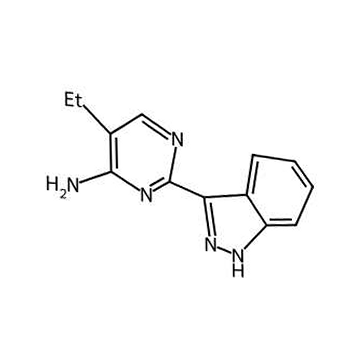 CCc1cnc(-c2n[nH]c3ccccc23)nc1N